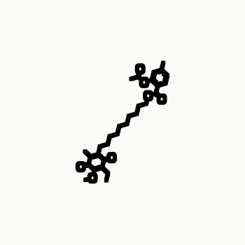 CCC1=C(OC)C(=O)C(C)=C(CCCCCCCCCCOC(=O)c2ccc(C)cc2OC(C)=O)C1=O